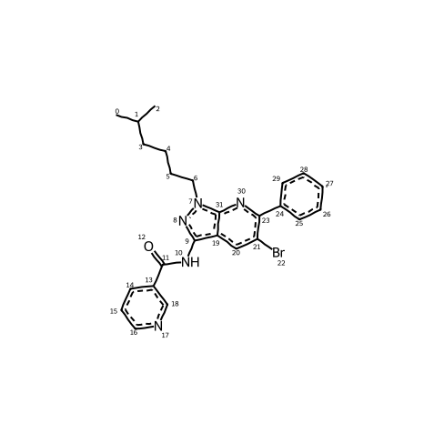 CC(C)CCCCn1nc(NC(=O)c2cccnc2)c2cc(Br)c(-c3cc[c]cc3)nc21